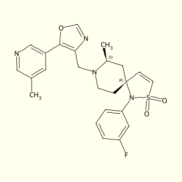 Cc1cncc(-c2ocnc2CN2CC[C@]3(C=CS(=O)(=O)N3c3cccc(F)c3)C[C@@H]2C)c1